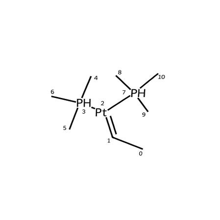 C[CH]=[Pt]([PH](C)(C)C)[PH](C)(C)C